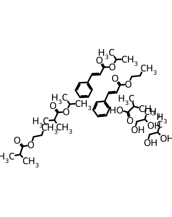 CC(C)C(=O)O.CC(C)OC(=O)C(C)C.CC(C)OC(=O)C=Cc1ccccc1.CC(O)CO.CC(O)CO.CCCOC(=O)C(C)C.CCCOC(=O)C=Cc1ccccc1